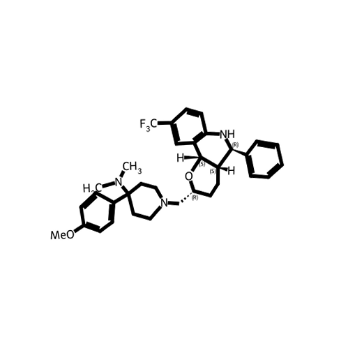 COc1ccc(C2(N(C)C)CCN(C[C@H]3CC[C@@H]4[C@H](O3)c3cc(C(F)(F)F)ccc3N[C@H]4c3ccccc3)CC2)cc1